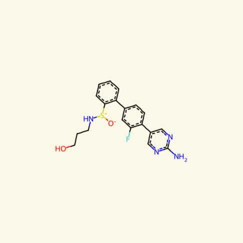 Nc1ncc(-c2ccc(-c3ccccc3[S+]([O-])NCCCO)cc2F)cn1